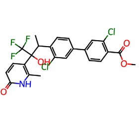 COC(=O)c1ccc(-c2ccc(C(C)C(O)(c3ccc(=O)[nH]c3C)C(F)(F)F)c(Cl)c2)cc1Cl